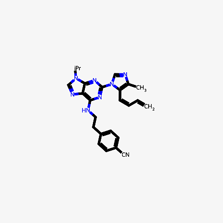 C=C/C=C\c1c(C)ncn1-c1nc(NCCc2ccc(C#N)cc2)c2ncn(C(C)C)c2n1